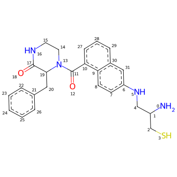 NC(CS)CNc1ccc2c(C(=O)N3CCNC(=O)C3Cc3ccccc3)cccc2c1